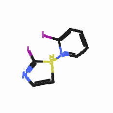 IC1=NC=C[SH]1[n+]1ccccc1I